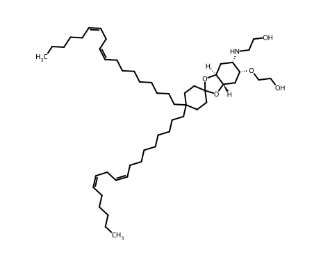 CCCCC/C=C\C/C=C\CCCCCCCCC1(CCCCCCCC/C=C\C/C=C\CCCCC)CCC2(CC1)O[C@H]1C[C@H](NCCO)[C@H](OCCO)C[C@@H]1O2